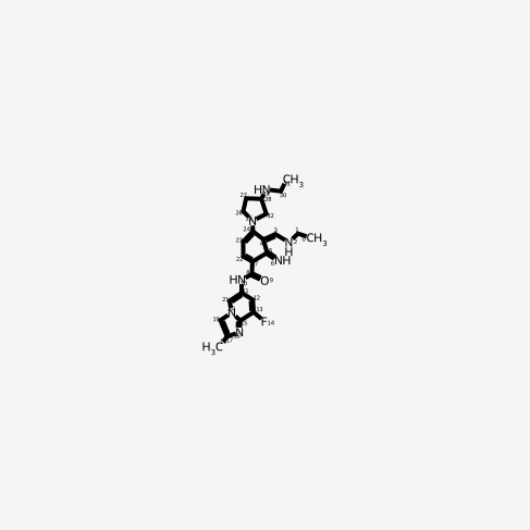 CCN/C=C1\C(=N)C(C(=O)Nc2cc(F)c3nc(C)cn3c2)=CC=C1N1CCC(NCC)C1